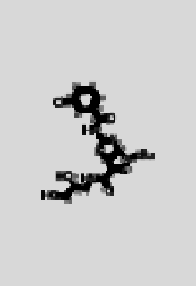 CC(C)(C)n1nc(C(=O)NC[C@H](O)CO)c2sc(NC(=O)c3cccc(Cl)c3)nc21